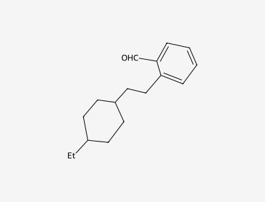 CCC1CCC(CCc2ccccc2C=O)CC1